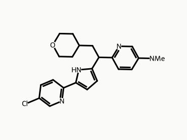 CNc1ccc(C(CC2CCOCC2)c2ccc(-c3ccc(Cl)cn3)[nH]2)nc1